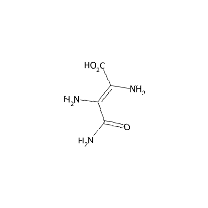 NC(=O)C(N)=C(N)C(=O)O